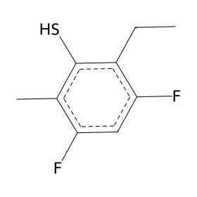 CCc1c(F)cc(F)c(C)c1S